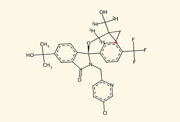 [2H]C([2H])(O)C1(C([2H])([2H])O[C@]2(c3ccc(C(F)(F)F)cc3)c3ccc(C(C)(C)O)cc3C(=O)N2Cc2ccc(Cl)cn2)CC1